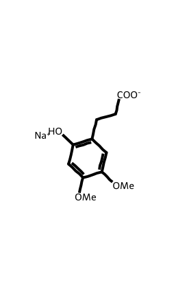 COc1cc(O)c(CCC(=O)[O-])cc1OC.[Na+]